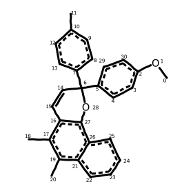 COc1ccc(C2(c3ccc(C)cc3)C=Cc3c(C)c(C)c4ccccc4c3O2)cc1